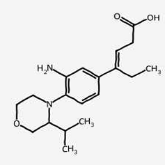 CCC(=CCC(=O)O)c1ccc(N2CCOCC2C(C)C)c(N)c1